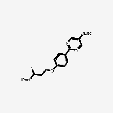 CCCCCCCCCCc1cnc(-c2ccc(OCCC(F)C(C)CCC)cc2)nc1